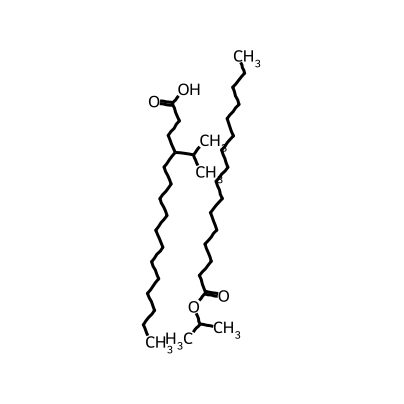 CCCCCCCCCCCCC(CCC(=O)O)C(C)C.CCCCCCCCCCCCCCCC(=O)OC(C)C